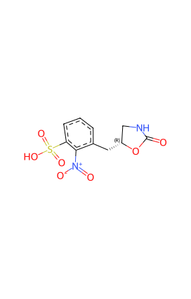 O=C1NC[C@@H](Cc2cccc(S(=O)(=O)O)c2[N+](=O)[O-])O1